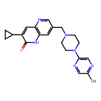 N#Cc1cnc(N2CCN(Cc3cnc4cc(C5CC5)c(=O)[nH]c4c3)CC2)cn1